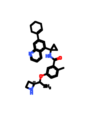 Cc1ccc(OC([SiH3])[C@@H]2CCN2)cc1C(=O)NC1(c2cc(C3=CCCCC3)cc3ncccc23)CC1